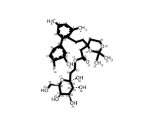 Cc1cc(C)c(CCC2(CC(=O)OCC[C@]3(O)O[C@H](CO)[C@H](O)[C@H](O)[C@H]3O)CCOC(C)(C)O2)c(-c2ccc(F)c(C)c2)c1